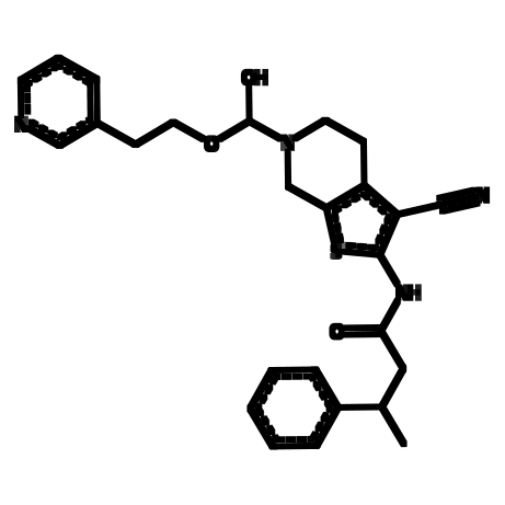 CC(CC(=O)Nc1sc2c(c1C#N)CCN(C(O)OCCc1cccnc1)C2)c1ccccc1